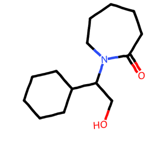 O=C1CCCCCN1C(CO)C1CCCCC1